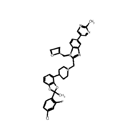 Cc1ncc(-c2ccc3c(c2)nc(CN2CCC(c4cccc5c4OC(C)(c4ccc(Cl)cc4F)O5)CC2)n3C[C@@H]2CCO2)cn1